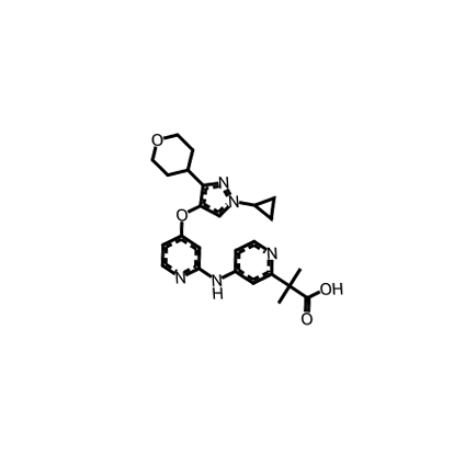 CC(C)(C(=O)O)c1cc(Nc2cc(Oc3cn(C4CC4)nc3C3CCOCC3)ccn2)ccn1